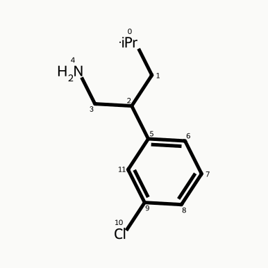 C[C](C)CC(CN)c1cccc(Cl)c1